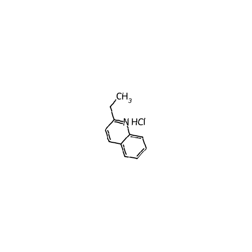 CCc1ccc2ccccc2n1.Cl